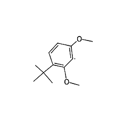 COc1[c]c(OC)c(C(C)(C)C)cc1